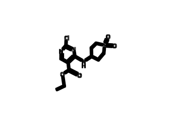 CCOC(=O)c1cnc(Cl)nc1NC1CCS(=O)(=O)CC1